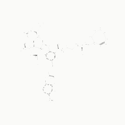 COC(=O)[C@H]1O[C@@H](Oc2ccc(COC(=O)Oc3ccc([N+](=O)[O-])cc3)cc2C(=O)NCCNC(=O)COC2C#CCCCCC2)[C@H](OC(C)=O)[C@@H](OC(C)=O)[C@@H]1OC(C)=O